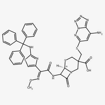 CON=C(C(=O)NC1C(=O)N2CC(CSc3cc(N)c4nnnn4n3)(C(=O)O)CS[C@H]12)c1csc(NC(c2ccccc2)(c2ccccc2)c2ccccc2)n1